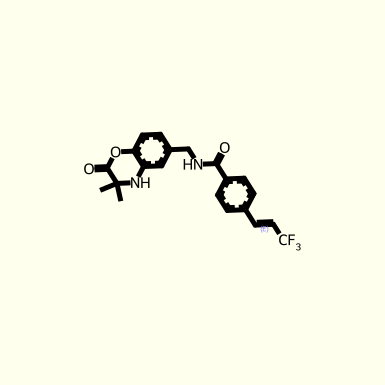 CC1(C)Nc2cc(CNC(=O)c3ccc(/C=C/C(F)(F)F)cc3)ccc2OC1=O